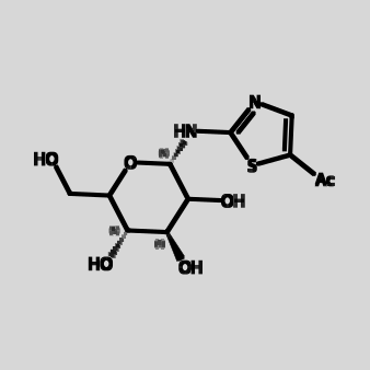 CC(=O)c1cnc(N[C@H]2OC(CO)[C@@H](O)[C@H](O)C2O)s1